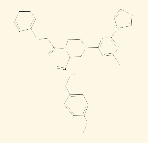 COc1ccc(CNC(=O)C2CN(c3cc(Cl)nc(-n4ccnc4)n3)CCN2C(=O)COc2ccccc2)cc1